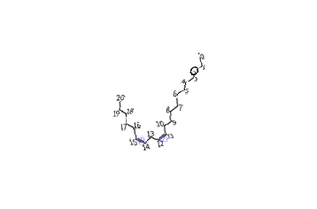 [CH2]COCCCCCCCC/C=C\C/C=C\CCCCC